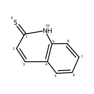 S=c1ccc2ccc[c]c2[nH]1